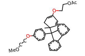 COCCOc1ccc(C2(C3(C)C=CC(OCCOC(C)=O)=CC3)c3ccccc3-c3ccccc32)cc1